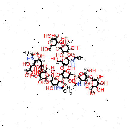 CC(=O)N[C@H]1[C@H](OC[C@H]2O[C@@H](O[C@H]3[C@H](O)[C@@H](NC(C)=O)[C@H](O[C@H]4[C@@H](O)[C@@H](CO)O[C@@H](O[C@H]5[C@H](O)[C@@H](O)[C@H](O)O[C@@H]5CO)[C@@H]4O)O[C@@H]3CO)[C@H](O)[C@@H](O[C@@H]3O[C@H](CO)[C@@H](O[C@@H]4O[C@H](CO[C@]5(C(=O)O)C[C@H](O)[C@@H](NC(C)=O)[C@H]([C@H](O)[C@H](O)CO)O5)[C@H](O)[C@H](O)[C@H]4O)[C@H](O)[C@H]3NC(C)=O)[C@H]2O)O[C@H](CO)[C@@H](O[C@@H]2O[C@H](CO)[C@H](O)[C@H](O)[C@H]2O)[C@@H]1O